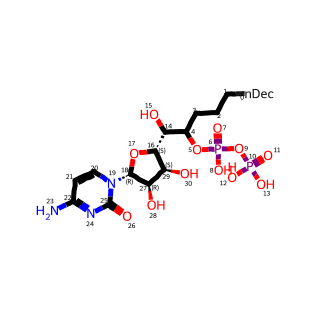 CCCCCCCCCCCCCC(OP(=O)(O)OP(=O)(O)O)C(O)[C@H]1O[C@@H](n2ccc(N)nc2=O)[C@H](O)[C@@H]1O